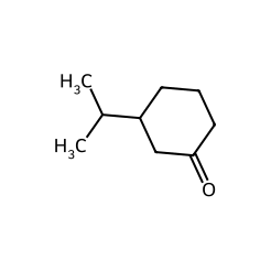 CC(C)C1CCCC(=O)C1